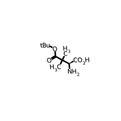 CC(C)(C)OC(=O)C(C)(C)[C@H](N)C(=O)O